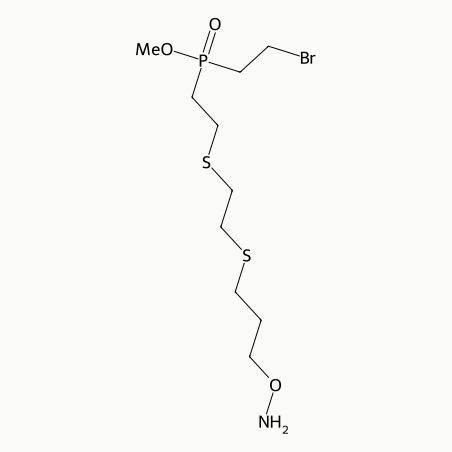 COP(=O)(CCBr)CCSCCSCCCON